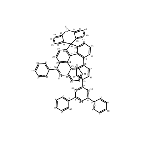 c1ccc(-c2nc(-c3ccccc3)nc(-c3ccc(-c4cccc5c4-c4c(ccc6c(-c7ccccc7)nc7ccccc7c46)C54c5ccccc5Oc5ccccc54)cc3)n2)cc1